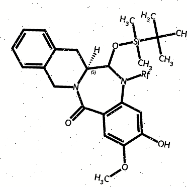 COc1cc2c(cc1O)[N]([Rf])C(O[Si](C)(C)C(C)(C)C)[C@@H]1Cc3ccccc3CN1C2=O